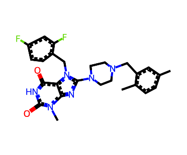 Cc1ccc(C)c(CN2CCN(c3nc4c(c(=O)[nH]c(=O)n4C)n3Cc3ccc(F)cc3F)CC2)c1